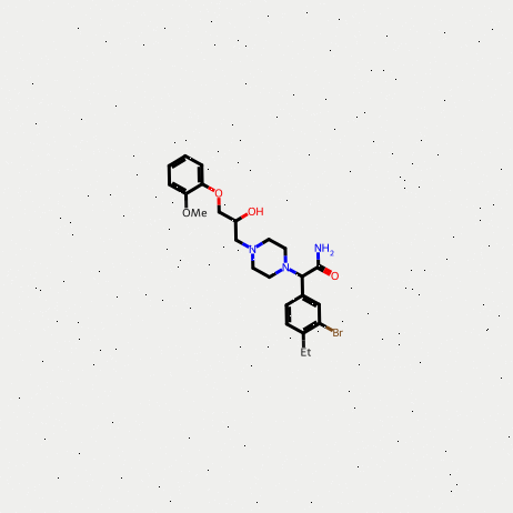 CCc1ccc(C(C(N)=O)N2CCN(CC(O)COc3ccccc3OC)CC2)cc1Br